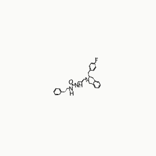 O=C(NCCCN1Cc2ccccc2CC1Cc1ccc(F)cc1)NCCc1ccccc1